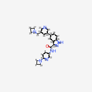 O=C(Nc1ccc(N2CCC2)nc1)c1n[nH]c2ccc(-c3cncc(CN4CCC4)c3)cc12